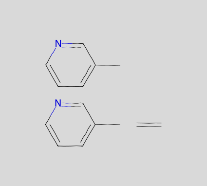 C=C.Cc1cccnc1.Cc1cccnc1